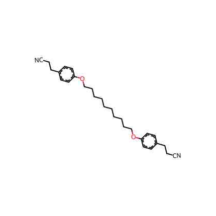 N#CCCc1ccc(OCCCCCCCCCCOc2ccc(CCC#N)cc2)cc1